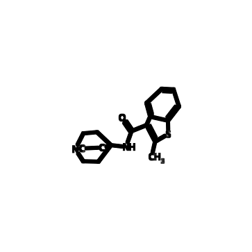 Cc1sc2ccccc2c1C(=O)NC12CCN(CC1)CC2